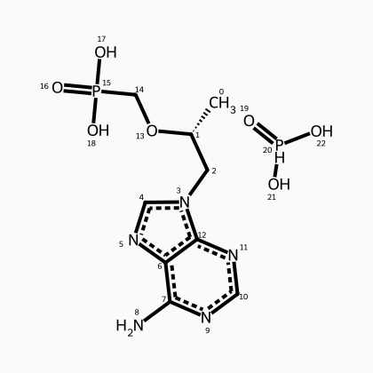 C[C@H](Cn1cnc2c(N)ncnc21)OCP(=O)(O)O.O=[PH](O)O